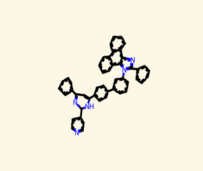 C1=C(c2ccc(-c3cccc(-n4c(-c5ccccc5)nc5c6ccccc6c6ccccc6c54)c3)cc2)NC(c2ccncc2)N=C1c1ccccc1